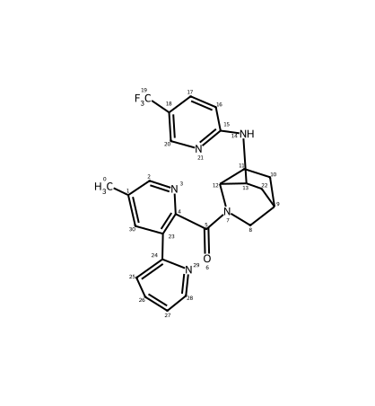 Cc1cnc(C(=O)N2CC3CCC2C(Nc2ccc(C(F)(F)F)cn2)C3)c(-c2ccccn2)c1